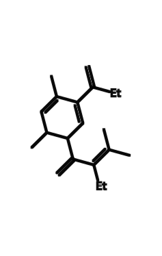 C=C(CC)C1=CC(C(=C)C(CC)=C(C)C)C(C)C=C1C